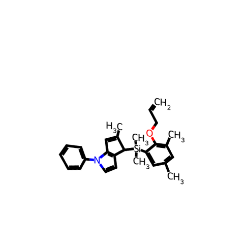 C=CCOc1c(C)cc(C)cc1[Si](C)(C)C1C(C)=Cc2c1ccn2-c1ccccc1